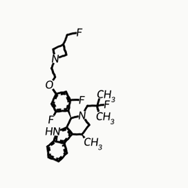 C[C@@H]1CN(CC(C)(C)F)[C@H](c2c(F)cc(OCCN3CC(CF)C3)cc2F)c2[nH]c3ccccc3c21